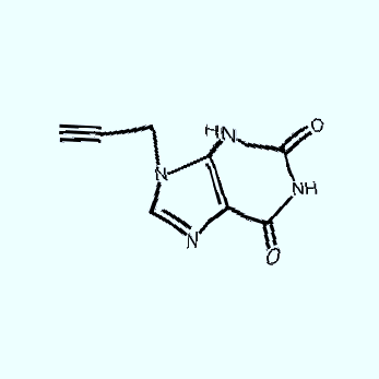 C#CCn1cnc2c(=O)[nH]c(=O)[nH]c21